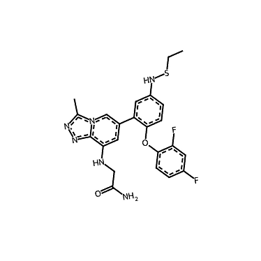 CCSNc1ccc(Oc2ccc(F)cc2F)c(-c2cc(NCC(N)=O)c3nnc(C)n3c2)c1